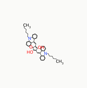 CCCCCCN1c2ccccc2C(=CC2=C(O)C(C=C3c4ccccc4N(CCCCCC)c4ccccc43)=C(O)C2=O)c2ccccc21